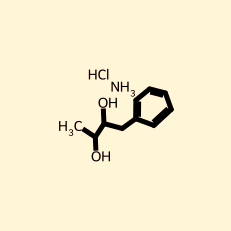 CC(O)C(O)Cc1ccccc1.Cl.N